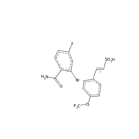 NC(=O)c1ccc(F)cc1Br.O=S(=O)(O)/C=C/c1ccc(OC(F)(F)F)cc1